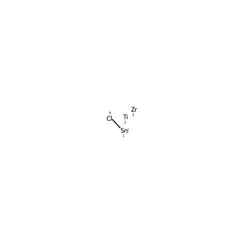 [Cl][Sn].[Ti].[Zr]